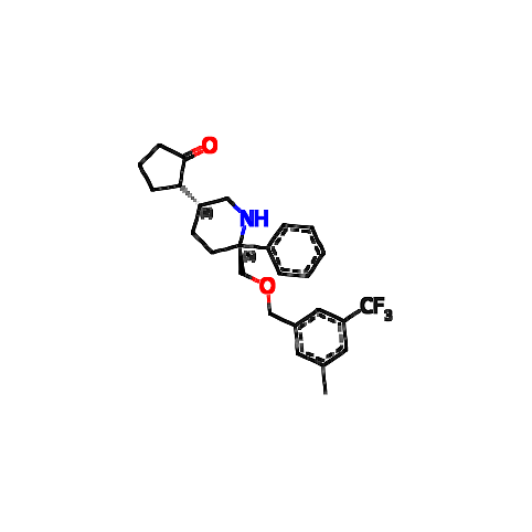 Cc1cc(COC[C@@]2(c3ccccc3)CC[C@H](C3CCCC3=O)CN2)cc(C(F)(F)F)c1